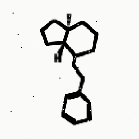 C[C@]12CCCC(CCc3ccccc3)[C@@H]1CCC2